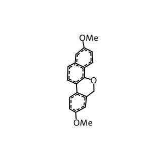 COc1ccc2c(c1)COc1c-2ccc2cc(OC)ccc12